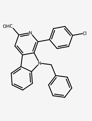 O=Cc1cc2c3ccccc3n(Cc3ccccc3)c2c(-c2ccc(Cl)cc2)n1